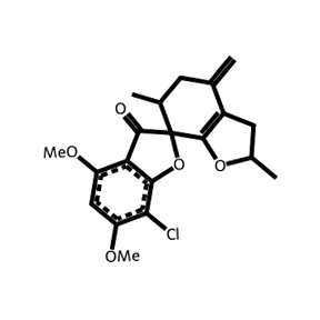 C=C1CC(C)C2(Oc3c(Cl)c(OC)cc(OC)c3C2=O)C2=C1CC(C)O2